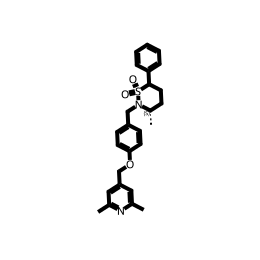 Cc1cc(COc2ccc(CN3[C@@H](C)CCC(c4ccccc4)S3(=O)=O)cc2)cc(C)n1